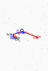 CC(=O)N[C@H](CCCCNC(=O)COC1CCCCCC2=C1NNN2CCOCCOCCOCCOCCCP(=O)(O)O)C(=O)N[C@H](C(=O)N[C@@H](C)C(=O)C(C)C)C(C)C